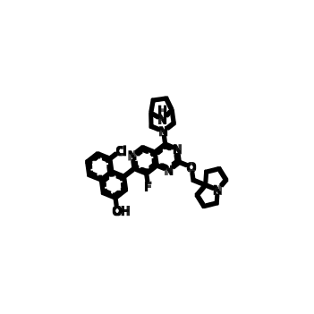 Oc1cc(-c2ncc3c(N4CC5CCC(C4)N5)nc(OCC45CCCN4CCC5)nc3c2F)c2c(Cl)cccc2c1